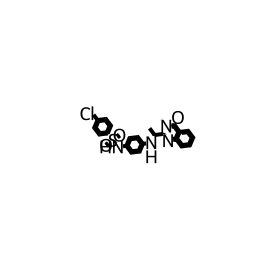 CC(Nc1ccc(NS(=O)(=O)c2ccc(Cl)cc2)cc1)c1nc2ccccc2c(=O)n1C